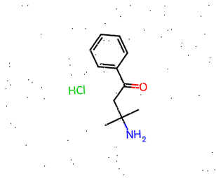 CC(C)(N)CC(=O)c1ccccc1.Cl